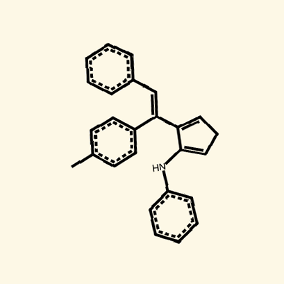 Cc1ccc(/C(=C\c2ccccc2)C2=CCC=C2Nc2ccccc2)cc1